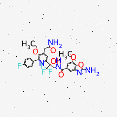 CCOc1c(CC(N)=O)cc([C@@](O)(CNC(=O)c2cc(OC)c3oc(N)nc3c2)C(F)(F)F)nc1-c1ccc(F)cc1